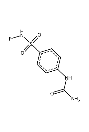 NC(=O)Nc1ccc(S(=O)(=O)NF)cc1